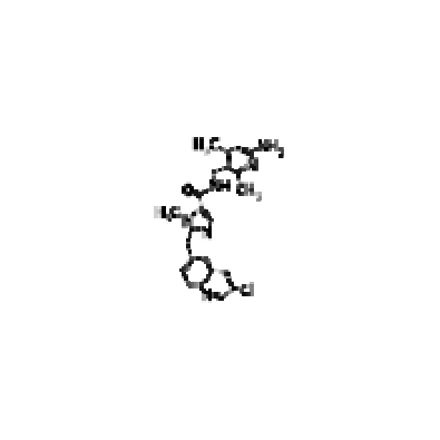 Cc1cc(N)nc(C)c1CNC(=O)c1cnc(Cc2ccc3ncc(Cl)cc3c2)n1C